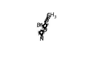 COCOCc1ccc(Oc2cccc(C#N)c2)cc1Br